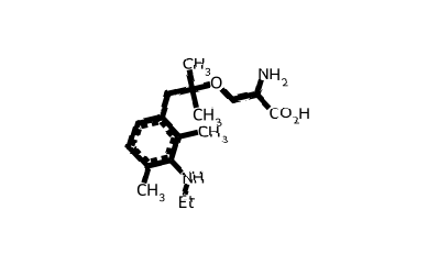 CCNc1c(C)ccc(CC(C)(C)OCC(N)C(=O)O)c1C